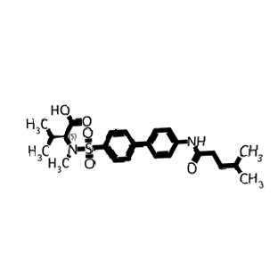 CC(C)CCC(=O)Nc1ccc(-c2ccc(S(=O)(=O)N(C)[C@H](C(=O)O)C(C)C)cc2)cc1